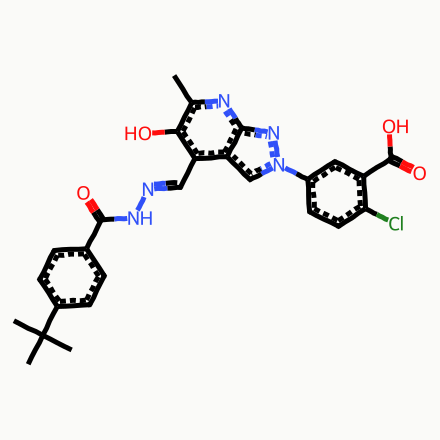 Cc1nc2nn(-c3ccc(Cl)c(C(=O)O)c3)cc2c(C=NNC(=O)c2ccc(C(C)(C)C)cc2)c1O